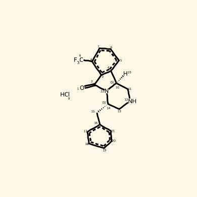 Cl.O=C1c2c(cccc2C(F)(F)F)[C@H]2CNC[C@H](Cc3ccccc3)N12